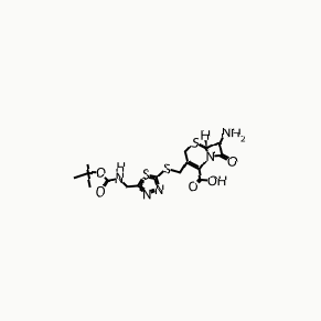 CC(C)(C)OC(=O)NCc1nnc(SCC2=C(C(=O)O)N3C(=O)C(N)[C@H]3SC2)s1